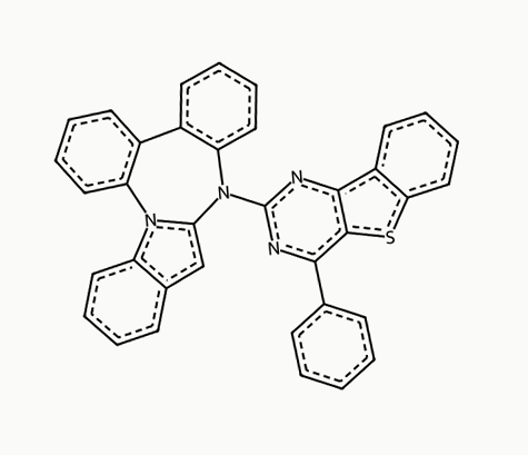 c1ccc(-c2nc(N3c4ccccc4-c4ccccc4-n4c3cc3ccccc34)nc3c2sc2ccccc23)cc1